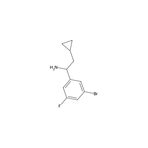 NC(CC1CC1)c1cc(F)cc(Br)c1